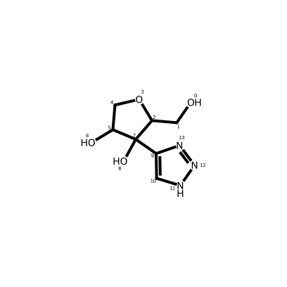 OCC1OCC(O)C1(O)c1c[nH]nn1